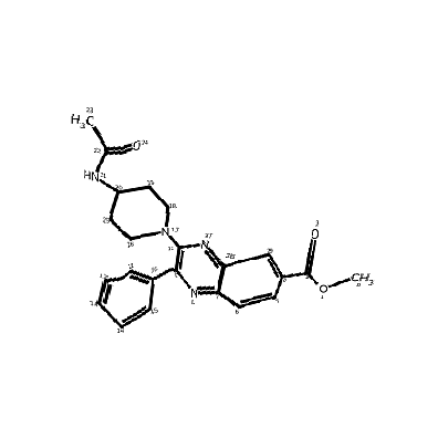 COC(=O)c1ccc2nc(-c3ccccc3)c(N3CCC(NC(C)=O)CC3)nc2c1